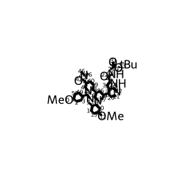 COc1ccc(CN(Cc2ccc(OC)cc2)c2ncc(-c3ccnc4[nH]c(C(=O)NCC(=O)OC(C)(C)C)cc34)cc2-c2ccc(C(=O)N(C)C)cn2)cc1